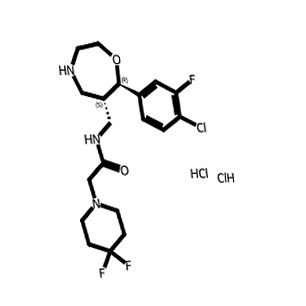 Cl.Cl.O=C(CN1CCC(F)(F)CC1)NC[C@@H]1CNCCO[C@H]1c1ccc(Cl)c(F)c1